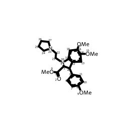 COC(=O)C1C(c2ccc(OC)cc2)c2cc(OC)c(OC)cc2N1CCN1CCCC1